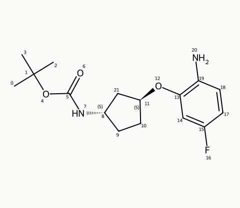 CC(C)(C)OC(=O)N[C@H]1CC[C@H](Oc2cc(F)ccc2N)C1